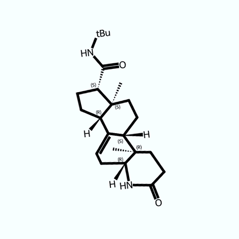 CC(C)(C)NC(=O)[C@H]1CC[C@H]2C3=CC[C@H]4NC(=O)CC[C@]4(C)[C@H]3CC[C@]12C